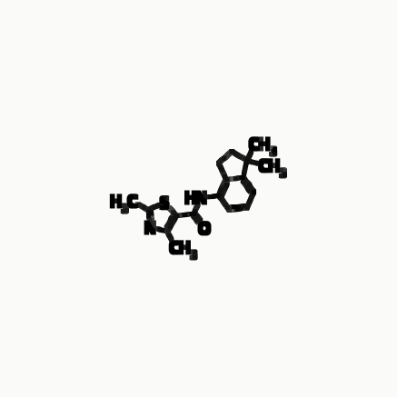 Cc1nc(C)c(C(=O)Nc2cccc3c2CCC3(C)C)s1